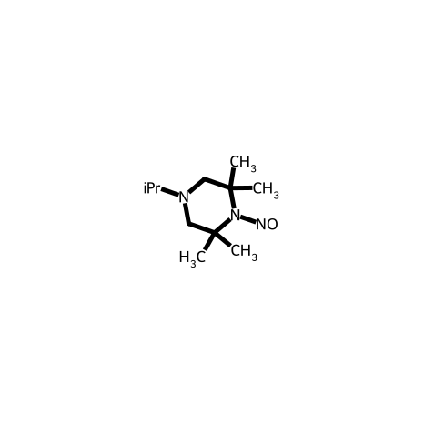 CC(C)N1CC(C)(C)N(N=O)C(C)(C)C1